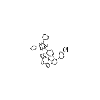 N#Cc1ccc(-c2cccc3c2-c2ccc(-c4nc(-c5ccccc5)nc(-c5ccccc5)n4)cc2C32c3ccccc3Oc3ccccc32)cc1